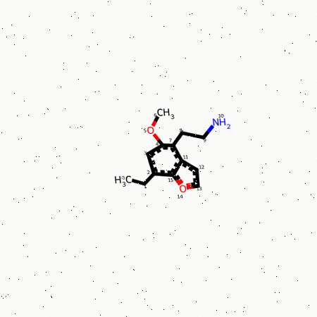 CCc1cc(OC)c(CCN)c2ccoc12